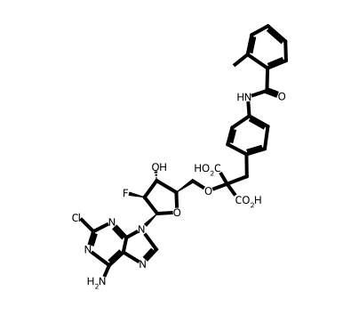 Cc1ccccc1C(=O)Nc1ccc(CC(OC[C@H]2O[C@@H](n3cnc4c(N)nc(Cl)nc43)[C@@H](F)[C@@H]2O)(C(=O)O)C(=O)O)cc1